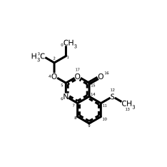 CCC(C)Oc1nc2cccc(SC)c2c(=O)o1